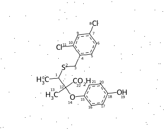 CC(SCc1ccc(Cl)cc1Cl)C(C)(Oc1ccc(O)cc1)C(=O)O